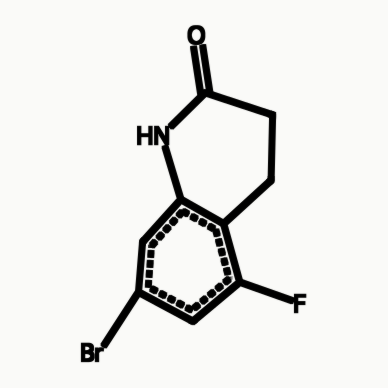 O=C1CCc2c(F)cc(Br)cc2N1